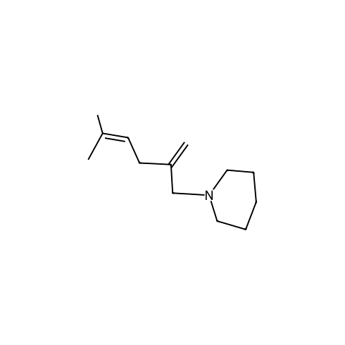 C=C(CC=C(C)C)CN1CCCCC1